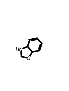 [C]1=CC=CC2OCNC12